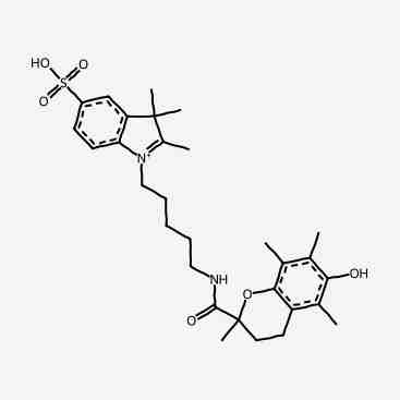 CC1=[N+](CCCCCNC(=O)C2(C)CCc3c(C)c(O)c(C)c(C)c3O2)c2ccc(S(=O)(=O)O)cc2C1(C)C